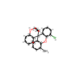 Bc1cccc2c1Oc1c(Br)cccc1C21c2ccccc2Oc2ccccc21